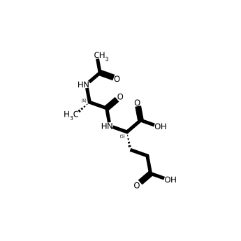 CC(=O)N[C@@H](C)C(=O)N[C@@H](CCC(=O)O)C(=O)O